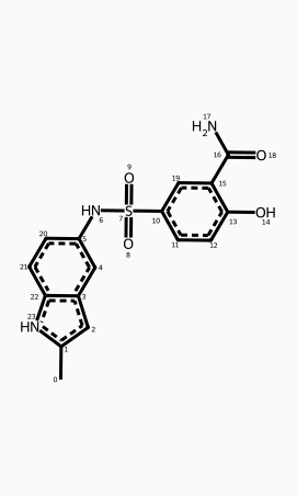 Cc1cc2cc(NS(=O)(=O)c3ccc(O)c(C(N)=O)c3)ccc2[nH]1